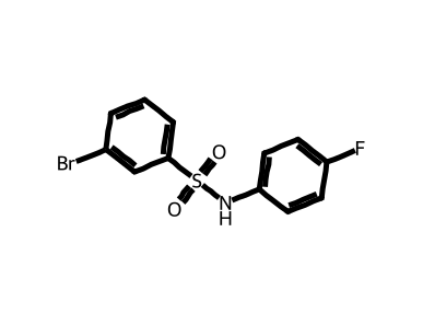 O=S(=O)(Nc1ccc(F)cc1)c1cccc(Br)c1